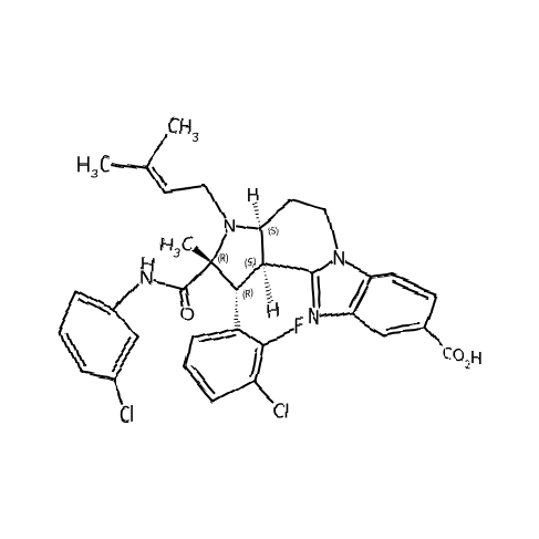 CC(C)=CCN1[C@H]2CCn3c(nc4cc(C(=O)O)ccc43)[C@H]2[C@H](c2cccc(Cl)c2F)[C@]1(C)C(=O)Nc1cccc(Cl)c1